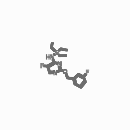 CC[Si](CC)(CC)Nc1nc(OCc2cccc(F)c2)ncc1F